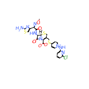 CO/N=C(\C(=O)N[C@@H]1C(=O)N2C(C(=O)[O-])=C(CSc3cc[n+](Nc4cccc(Cl)n4)cc3)CS[C@H]12)c1csc(N)n1